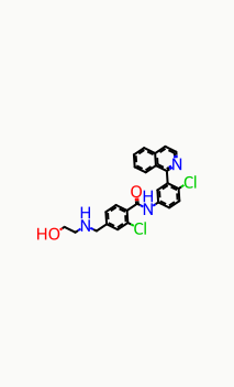 O=C(Nc1ccc(Cl)c(-c2nccc3ccccc23)c1)c1ccc(CNCCO)cc1Cl